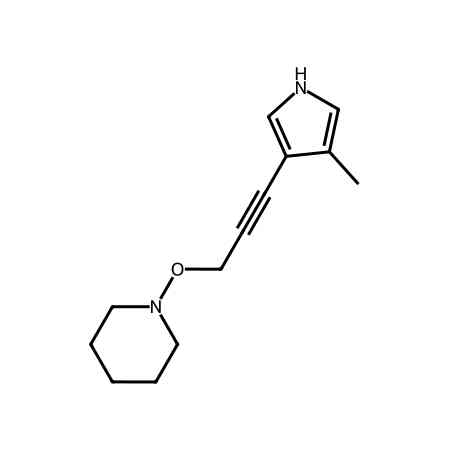 Cc1c[nH]cc1C#CCON1CCCCC1